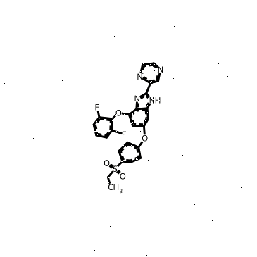 CCS(=O)(=O)c1ccc(Oc2cc(Oc3c(F)cccc3F)c3nc(-c4cnccn4)[nH]c3c2)cc1